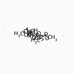 COC(=O)c1cc(S(=O)(=O)NC(=O)n2nc(OC(C)C)n(C3CC3)c2=O)c(C)s1